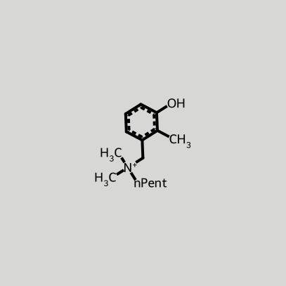 CCCCC[N+](C)(C)Cc1cccc(O)c1C